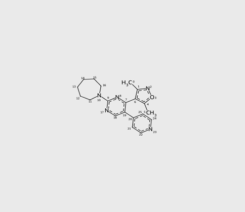 Cc1noc(C)c1-c1nc(N2CCCCCC2)ncc1-c1ccncc1